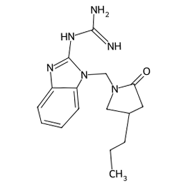 CCCC1CC(=O)N(Cn2c(NC(=N)N)nc3ccccc32)C1